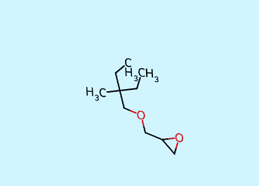 CCC(C)(CC)COCC1CO1